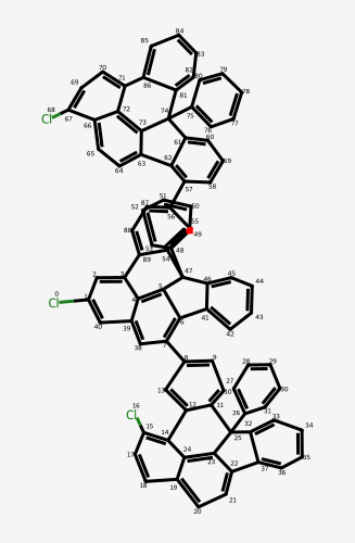 Clc1cc2c3c4c(c(-c5ccc6c(c5)-c5c(Cl)ccc7ccc8c(c57)C6(c5ccccc5)c5ccccc5-8)cc3c1)-c1ccccc1C4(c1ccccc1)c1cc(-c3cccc4c3-c3ccc5c(Cl)ccc6c5c3C4(c3ccccc3)c3ccccc3-6)ccc1-2